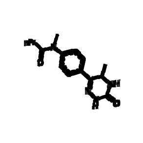 CCCC(=O)N(C)c1ccc(C2=NNC(=O)NC2C)cc1